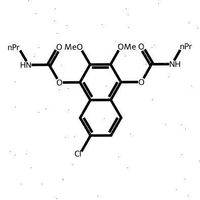 CCCNC(=O)Oc1c(OC)c(OC)c(OC(=O)NCCC)c2cc(Cl)ccc12